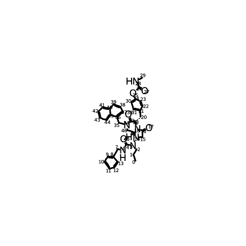 CCCN(C(=O)NCc1ccccc1)N1CC(=O)N2[C@@H](Cc3ccc(OC(=O)NC)cc3)C(=O)N(Cc3cccc4ccccc34)C[C@@H]21